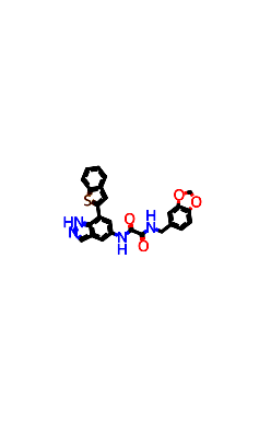 O=C(NCc1ccc2c(c1)OCO2)C(=O)Nc1cc(-c2cc3ccccc3s2)c2[nH]ncc2c1